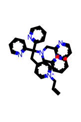 C=CC[n+]1ccc(CC(c2ccccn2)(c2ccccn2)N(Cc2ccccn2)Cc2ccccn2)cc1